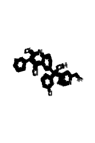 OC(c1cccc(Cl)c1)(c1ccnc(CF)c1)c1ccc2nc(Cl)c(-c3ccccc3)c(Cl)c2c1